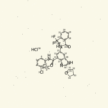 Cc1c(Cl)cccc1NC(=O)c1cc(NC(=O)c2ccccc2C(F)(F)F)cc2[nH]c([C@@H]3CCCO3)nc12.Cl